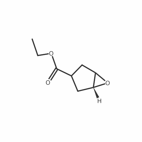 CCOC(=O)C1CC2O[C@@H]2C1